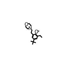 CCc1cc(C(C)(C)C)cc(CCN2CCOCC2)c1OC